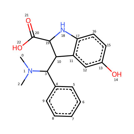 CN(C)C(c1ccccc1)C1c2cc(O)ccc2NC1C(=O)O